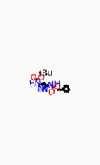 Cn1nc(NC(=O)OCc2ccccc2)cc1NC(=O)OC(C)(C)C